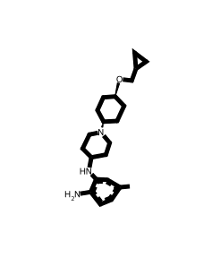 Cc1ccc(N)c(NC2CCN([C@H]3CC[C@H](OCC4CC4)CC3)CC2)c1